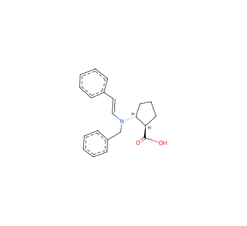 O=C(O)[C@@H]1CCC[C@H]1N(C=Cc1ccccc1)Cc1ccccc1